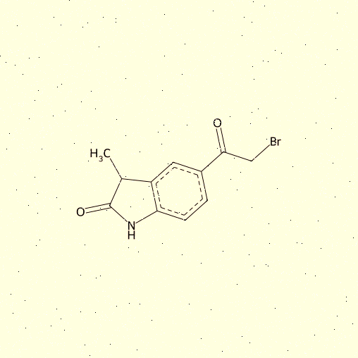 CC1C(=O)Nc2ccc(C(=O)CBr)cc21